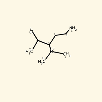 CC(Cl)C(CCN)N(C)C